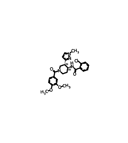 COc1ccc(C(=O)N2CC[C@H](NC(=O)c3ccccc3Cl)[C@@H](c3ccn(C)n3)C2)cc1OC